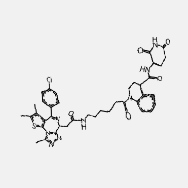 Cc1sc2c(c1C)C(c1ccc(Cl)cc1)=NC(CC(=O)NCCCCCC(=O)N1CCC(C(=O)NC3CCC(=O)NC3=O)c3ccccc31)c1nnc(C)n1-2